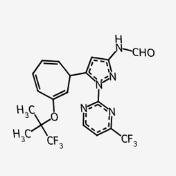 CC(C)(OC1=CC(c2cc(NC=O)nn2-c2nccc(C(F)(F)F)n2)C=CC=C1)C(F)(F)F